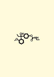 CCNC(=O)Oc1ccc(C(O)(CC)c2ccccc2OC)cc1